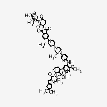 COc1ncc(-c2ccnc(N3CCn4c(cc5c4CC(C)(C)C5)C3=O)c2C(C)(C)O)cc1Nc1ccc(N2CCN(C3CCN(c4ccc5c(c4)C(=O)N(C4CCC(=O)N(C(C)OP(=O)(O)O)C4=O)C5=O)[C@@H](C)C3)C[C@@H]2C)cn1